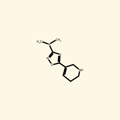 CN(C)c1noc(C2=CCCNC2)n1